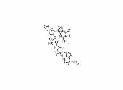 C[C@]1(COP(=O)(S)O[C@@H]2[C@@H](F)[C@@H](CO)O[C@H]2n2nnc3c(=O)[nH]c(N)nc32)O[C@@H](n2cnc3c(N)ncnc32)[C@@H]2OO[C@@H]21